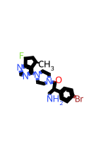 C[C@@H]1C[C@H](F)c2ncnc(N3CCN(C(=O)C(CN)c4ccc(Br)cc4)CC3)c21